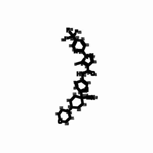 Cc1c(C(=O)Nc2ccc(C3(C#N)CCC(N4CCOCC4)CC3)nc2)cnn1-c1ccc(C(F)(F)F)cn1